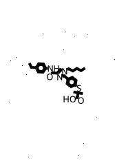 CCCCCn1cc(C(=O)Nc2ccc(CC)cc2)nc1-c1ccc(SC(C)(C)C(=O)O)cc1